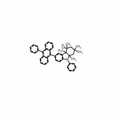 CC1(C)CC(C)(C)C2(C)c3cc(-c4c5ccccc5c(-c5ccccc5)c5ccccc45)ccc3N(c3ccccc3)C2(C)C1